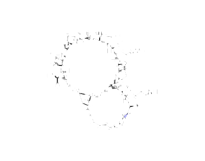 CCC[C@H](C)[C@@H]1NC(=O)[C@H](CC(=O)O)NC(=O)[C@H](CCSC)NC(=O)[C@@H]2CCCN2C(=O)[C@@H]2CSCc3cc(cc(c3)OCCCCCCO/N=C/C(=O)N[C@@H](CCCCN)C(=O)N2)CSC[C@@H](C(N)=O)NC(=O)[C@H]([C@@H](C)O)NC(=O)[C@@H]2CCCN2C1=O